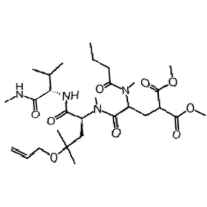 C=CCOC(C)(C)C[C@@H](C(=O)N[C@H](C(=O)NC)C(C)C)N(C)C(=O)C(CC(C(=O)OC)C(=O)OC)N(C)C(=O)CCC